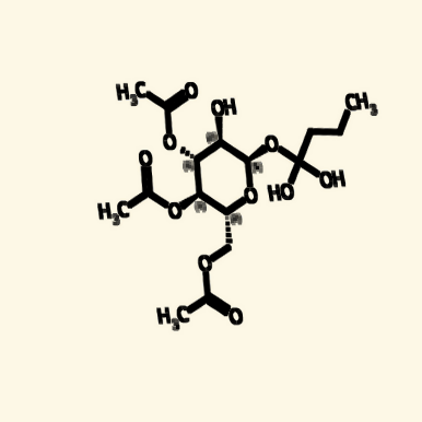 CCCC(O)(O)O[C@H]1O[C@H](COC(C)=O)[C@@H](OC(C)=O)[C@H](OC(C)=O)[C@H]1O